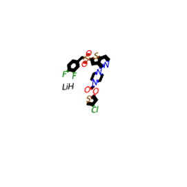 O=C(Oc1cc(Cl)cs1)N1CCN(c2nccc3sc(S(=O)(=O)Cc4ccc(F)c(F)c4)cc23)CC1.[LiH]